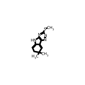 CSc1nnc2c3c([nH]c2n1)=CCC(C)(C)C=3